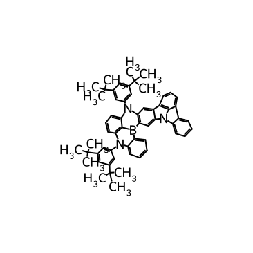 CC(C)(C)c1cc(N2c3ccccc3B3c4cc5c(cc4N(c4cc(C(C)(C)C)cc(C(C)(C)C)c4)c4cccc2c43)c2cccc3c4ccccc4n5c32)cc(C(C)(C)C)c1